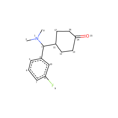 CN(C)C(c1cccc(F)c1)C1CCC(=O)CC1